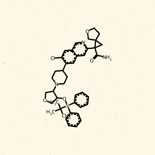 CC(C)(C)[Si](OC1COCC1N1CCC(c2cc3cc(C4(C(N)=O)CC45CCOC5)ncc3cc2Cl)CC1)(c1ccccc1)c1ccccc1